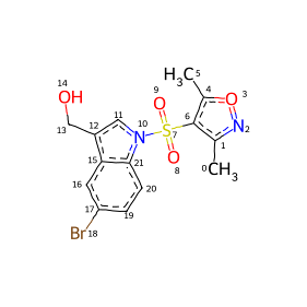 Cc1noc(C)c1S(=O)(=O)n1cc(CO)c2cc(Br)ccc21